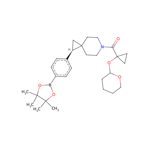 CC1(C)OB(c2ccc([C@H]3CC34CCN(C(=O)C3(OC5CCCCO5)CC3)CC4)cc2)OC1(C)C